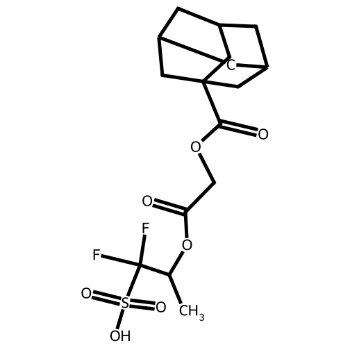 CC(OC(=O)COC(=O)C12CC3CC(CC(C3)C1)C2)C(F)(F)S(=O)(=O)O